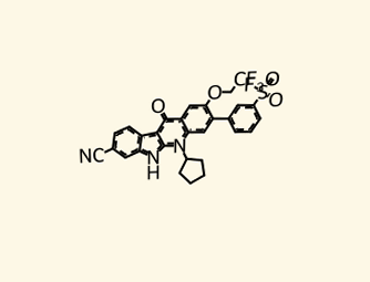 N#Cc1ccc2c(c1)[nH]c1c2c(=O)c2cc(OCC(F)(F)F)c(-c3cccc(S(=O)(=O)F)c3)cc2n1C1CCCC1